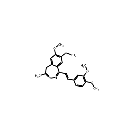 COc1ccc(C=CC2=NN=C(C)Cc3cc(OC)c(OC)cc32)cc1OC